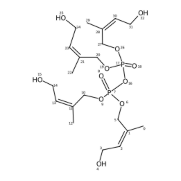 C/C(=C/CO)COP(=O)(OC/C(C)=C\CO)OP(=O)(OC/C(C)=C\CO)OC/C(C)=C\CO